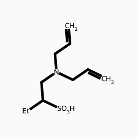 C=CCN(CC=C)CC(CC)S(=O)(=O)O